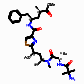 CC[C@H](C)[C@H](NC(=O)C(C)(C)N)C(=O)N(C)[C@H](C[C@@H](OC(C)=O)c1nc(C(=O)N[C@@H](Cc2ccccc2)C[C@H](C)C(=O)OC)cs1)C(C)C